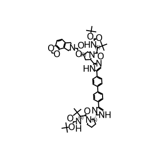 CC(C)(C)OC(=O)N[C@H](C(=O)N1C[C@H](OC(=O)N2Cc3ccc4c(c3C2)OCO4)CC1c1ncc(-c2ccc(-c3ccc(-c4c[nH]c([C@@H]5CCCN5C(=O)[C@@H](NC(=O)OC(C)(C)C)C(C)(C)C)n4)cc3)cc2)[nH]1)C(C)(C)C